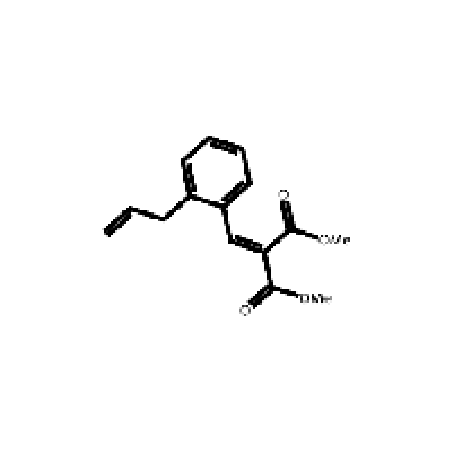 C=CCc1ccccc1C=C(C(=O)OC)C(=O)OC